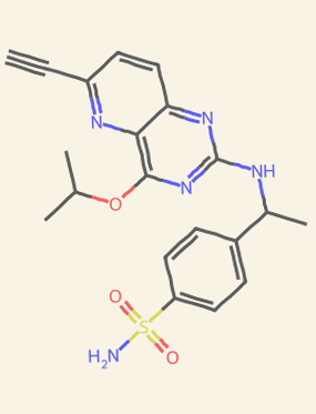 C#Cc1ccc2nc(NC(C)c3ccc(S(N)(=O)=O)cc3)nc(OC(C)C)c2n1